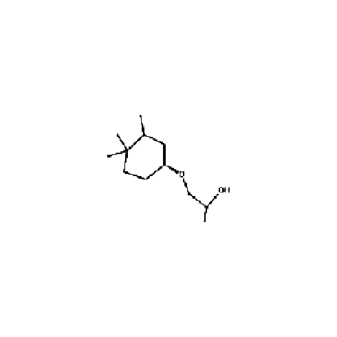 CC(O)CO[C@H]1CCC(C)(C)C(C)C1